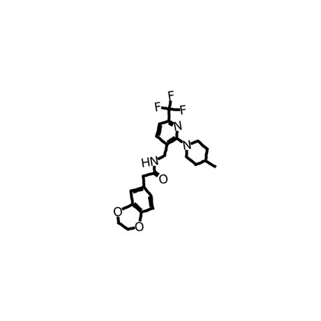 CC1CCN(c2nc(C(F)(F)F)ccc2CNC(=O)Cc2ccc3c(c2)OCCO3)CC1